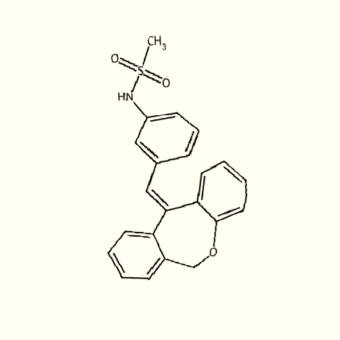 CS(=O)(=O)Nc1cccc(/C=C2/c3ccccc3COc3ccccc32)c1